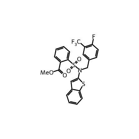 COC(=O)c1ccccc1S(=O)(=O)N(Cc1ccc(F)c(C(F)(F)F)c1)c1cc2ccccc2s1